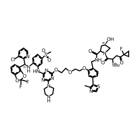 Cc1ncsc1-c1ccc(CNC(=O)C2C[C@@H](O)CN2C(=O)C(CC(=O)C2(F)CC2)C(C)(C)C)c(OCCOCCOc2nc(Nc3cc(S(C)(=O)=O)ccc3N[C@@H](c3cccc4c3OC(F)(F)O4)c3ncccc3Cl)nc(N3CCNCC3)n2)c1